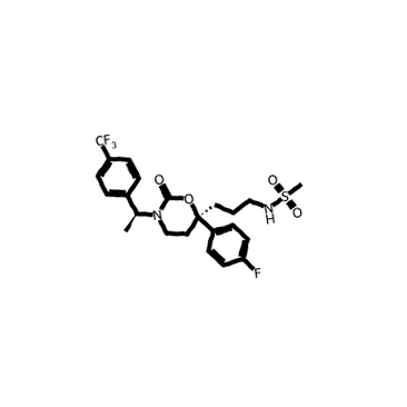 C[C@@H](c1ccc(C(F)(F)F)cc1)N1CC[C@](CCCNS(C)(=O)=O)(c2ccc(F)cc2)OC1=O